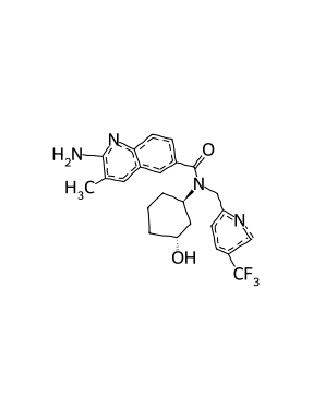 Cc1cc2cc(C(=O)N(Cc3ccc(C(F)(F)F)cn3)[C@@H]3CCC[C@@H](O)C3)ccc2nc1N